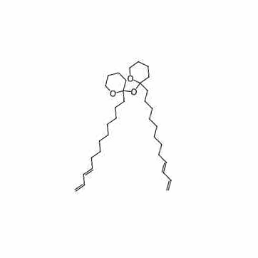 C=CC=CCCCCCCCCC1(OC2(CCCCCCCCC=CC=C)CCCCO2)CCCCO1